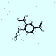 C=C(C)c1ccc(N=C=O)c(C(C)C)c1